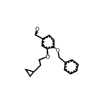 O=Cc1ccc(OCc2ccccc2)c(OCCC2CC2)c1